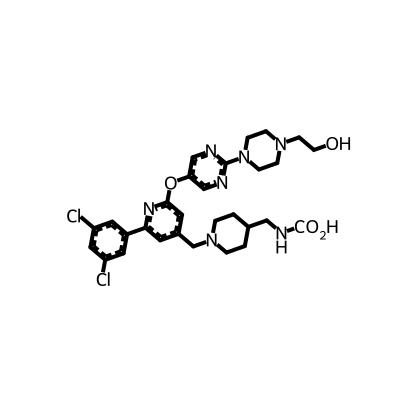 O=C(O)NCC1CCN(Cc2cc(Oc3cnc(N4CCN(CCO)CC4)nc3)nc(-c3cc(Cl)cc(Cl)c3)c2)CC1